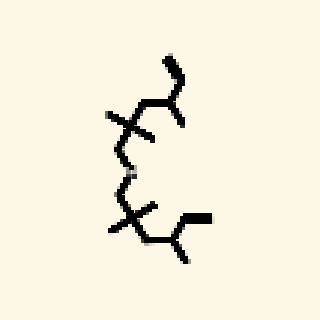 C=CC(C)CC(C)(C)COCC(C)(C)CC(C)C=C